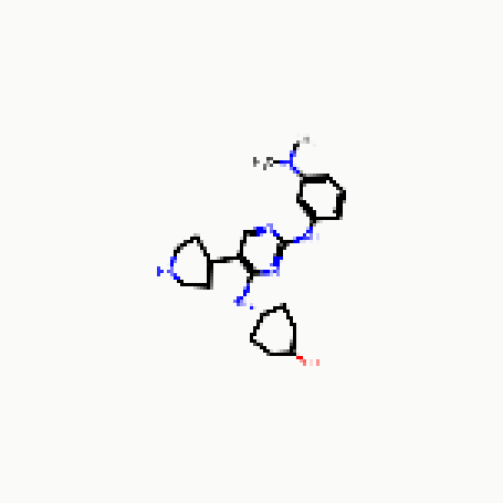 CN(C)c1cccc(Nc2ncc(C3CCNCC3)c(N[C@H]3CC[C@H](O)CC3)n2)c1